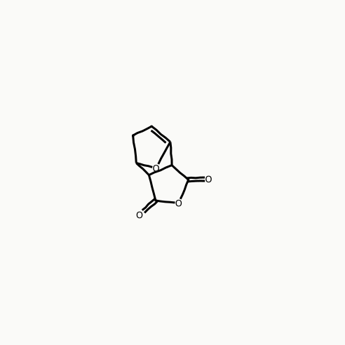 O=C1OC(=O)C2C3CC=C(O3)C12